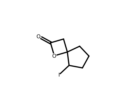 O=C1CC2(CCCC2I)O1